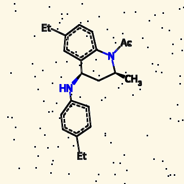 CCc1ccc(N[C@@H]2C[C@H](C)N(C(C)=O)c3ccc(CC)cc32)cc1